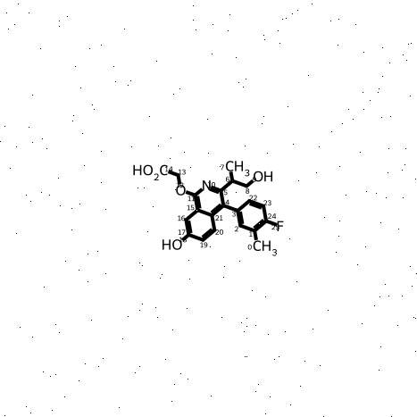 Cc1cc(-c2c(C(C)CO)nc(OCC(=O)O)c3cc(O)ccc23)ccc1F